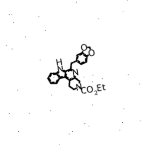 CCOC(=O)N1CCc2c(nc(Cc3ccc4c(c3)OCO4)c3[nH]c4ccccc4c23)C1